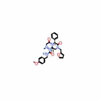 COc1ccc(CNC(=O)N2[C@H]3CN(Cc4ccco4)C(=O)[C@H](c4ccccc4)N3C(=O)CN2C)cc1